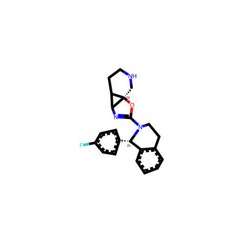 Fc1ccc([C@H]2c3ccccc3CCN2C2=NC3C4CCNC[C@@]43O2)cc1